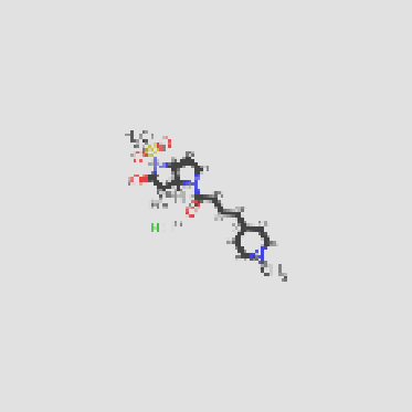 CC(C)[C@H]1C(=O)N(S(C)(=O)=O)C2=CCN(C(=O)CCCC3CCN(C)CC3)[C@@H]21.Cl